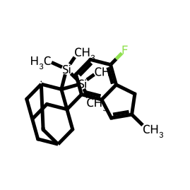 CC1=Cc2c(C34CC5C[C](CC(C5)C3)C43[Si](C)(C)[Si]3(C)C)ccc(F)c2C1